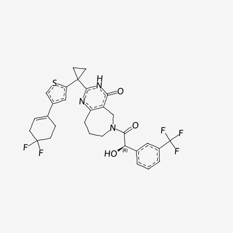 O=C([C@H](O)c1cccc(C(F)(F)F)c1)N1CCCc2nc(C3(c4cc(C5=CCC(F)(F)CC5)cs4)CC3)[nH]c(=O)c2C1